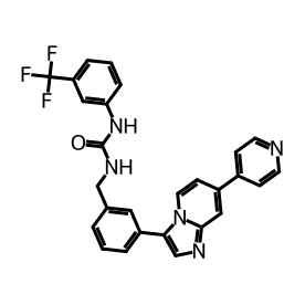 O=C(NCc1cccc(-c2cnc3cc(-c4ccncc4)ccn23)c1)Nc1cccc(C(F)(F)F)c1